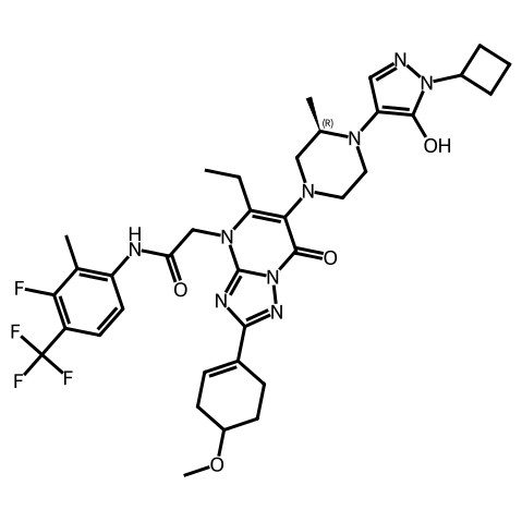 CCc1c(N2CCN(c3cnn(C4CCC4)c3O)[C@H](C)C2)c(=O)n2nc(C3=CCC(OC)CC3)nc2n1CC(=O)Nc1ccc(C(F)(F)F)c(F)c1C